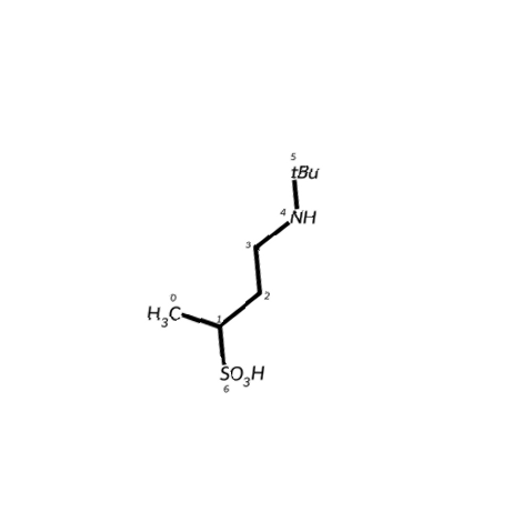 CC(CCNC(C)(C)C)S(=O)(=O)O